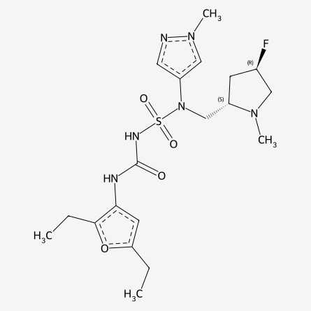 CCc1cc(NC(=O)NS(=O)(=O)N(C[C@@H]2C[C@@H](F)CN2C)c2cnn(C)c2)c(CC)o1